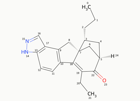 CCC[C@@H]1C[C@@H]2C[C@]13Cc1c(ccc4[nH]ncc14)C3=C(CC)C2=O